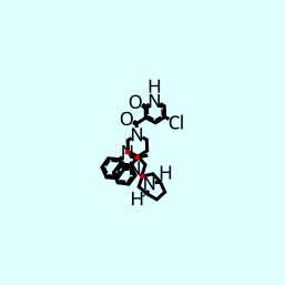 Cc1nc2ccccc2n1C1C[C@H]2CC[C@@H](C1)N2CCC1(c2ccccc2)CCN(C(=O)c2cc(Cl)c[nH]c2=O)CC1